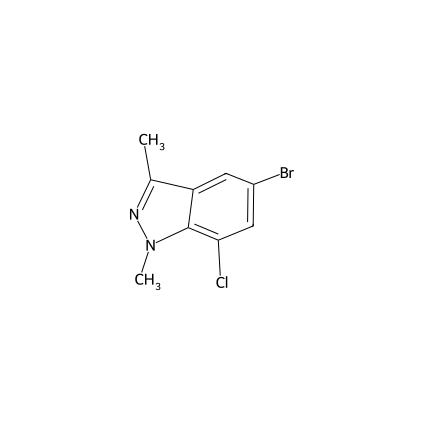 Cc1nn(C)c2c(Cl)cc(Br)cc12